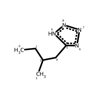 CCC(C)Cc1nnn[nH]1